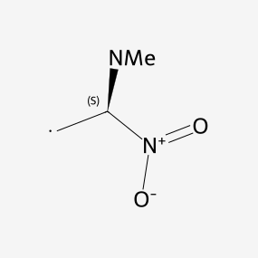 [CH2][C@@H](NC)[N+](=O)[O-]